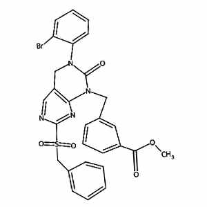 COC(=O)c1cccc(CN2C(=O)N(c3ccccc3Br)Cc3cnc(S(=O)(=O)Cc4ccccc4)nc32)c1